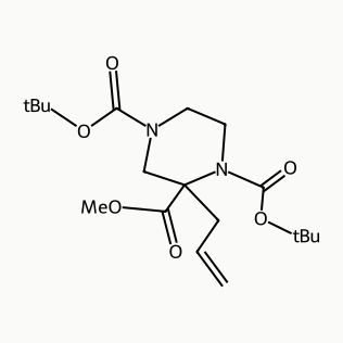 C=CCC1(C(=O)OC)CN(C(=O)OC(C)(C)C)CCN1C(=O)OC(C)(C)C